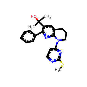 CSc1nccc(N2CCCc3cc(C(C)(C)O)c(-c4ccccc4)nc32)n1